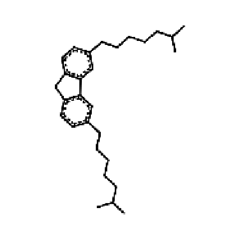 CC(C)CCCCCc1ccc2c(c1)-c1cc(CCCCCC(C)C)ccc1C2